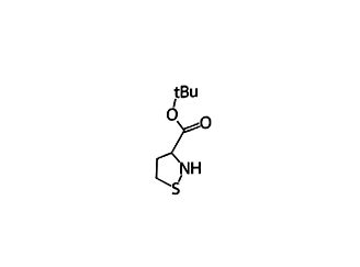 CC(C)(C)OC(=O)C1CCSN1